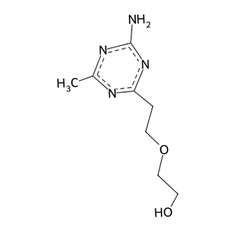 Cc1nc(N)nc(CCOCCO)n1